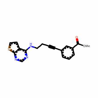 COC(=O)c1cccc(C#CCCNc2ncnc3sccc23)c1